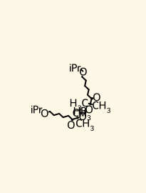 CC(C)OCCCCCC(=O)C(C)(C)OBOC(C)(C)C(=O)CCCCCOC(C)C